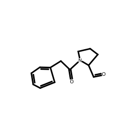 O=CC1CCCN1C(=O)Cc1ccccc1